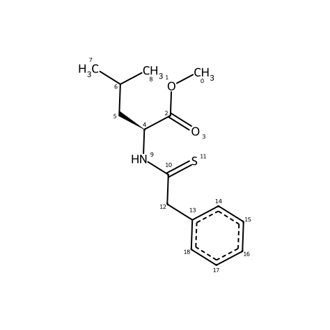 COC(=O)[C@H](CC(C)C)NC(=S)Cc1ccccc1